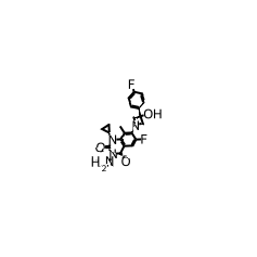 Cc1c(N2CC(O)(c3ccc(F)cc3)C2)c(F)cc2c(=O)n(N)c(=O)n(C3CC3)c12